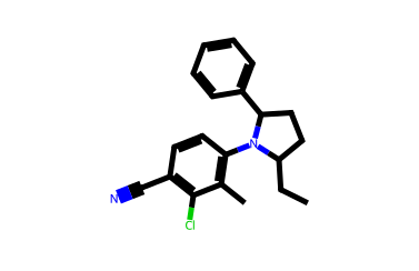 CCC1CCC(c2ccccc2)N1c1ccc(C#N)c(Cl)c1C